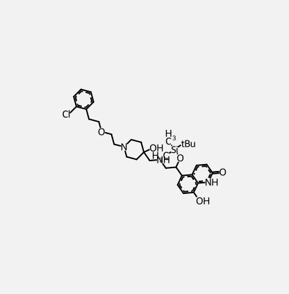 CC(C)(C)[Si](C)(C)OC(CNCC1(O)CCN(CCOCCc2ccccc2Cl)CC1)c1ccc(O)c2[nH]c(=O)ccc12